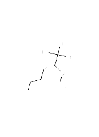 CC(C)(C#N)[C@@H](CCCO)NC(=O)O